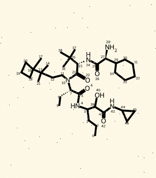 CCCC(NC(=O)[C@H](CC)N(CCC(C)(C)C1(C)CCC1)C(=O)[C@@H](NC(=O)[C@@H](N)C1CCCCC1)C(C)(C)C)C(O)C(=O)NC1CC1